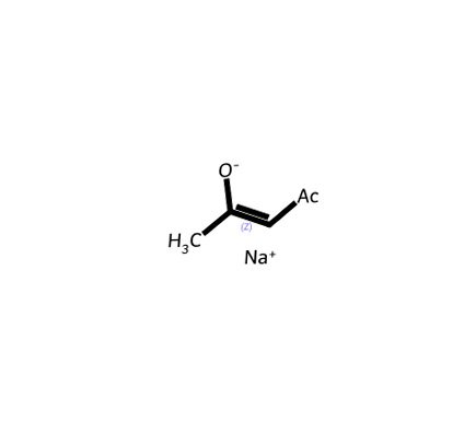 CC(=O)/C=C(/C)[O-].[Na+]